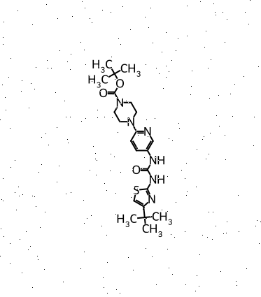 CC(C)(C)OC(=O)N1CCN(c2ccc(NC(=O)Nc3nc(C(C)(C)C)cs3)cn2)CC1